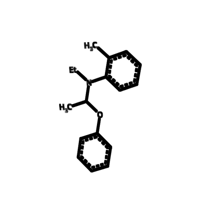 CCN(c1ccccc1C)C(C)Oc1ccccc1